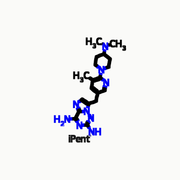 CCCC(C)Nc1nc(N)c2ncc(Cc3cnc(N4CCC(N(C)C)CC4)c(C)c3)n2n1